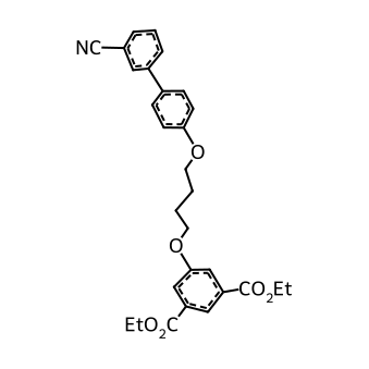 CCOC(=O)c1cc(OCCCCOc2ccc(-c3cccc(C#N)c3)cc2)cc(C(=O)OCC)c1